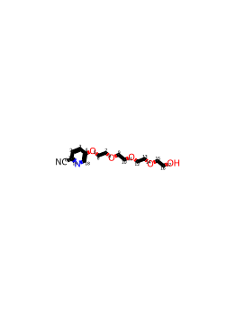 N#Cc1ccc(OCCOCCOCCOCCO)cn1